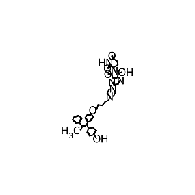 CC/C(=C(\c1ccc(O)cc1)c1ccc(OCCCCCN2CCN(c3cnc4c(n3)C(=O)N(C3CCC(=O)NC3=O)C4O)CC2)cc1)c1ccccc1